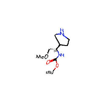 COC[C@@H](NC(=O)OC(C)(C)C)C1CCNC1